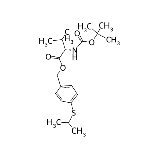 CC(C)Sc1ccc(COC(=O)[C@@H](NC(=O)OC(C)(C)C)C(C)C)cc1